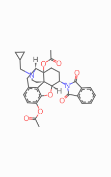 CC(=O)Oc1ccc2c3c1O[C@H]1[C@H](N4C(=O)c5ccccc5C4=O)CC[C@@]4(OC(C)=O)[C@@H](C2)N(CC2CC2)CC[C@]314